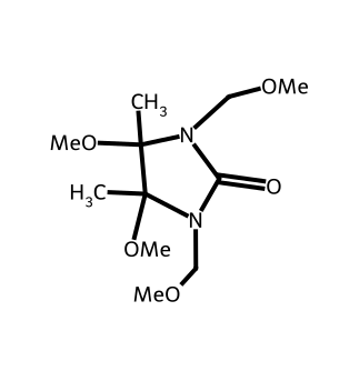 COCN1C(=O)N(COC)C(C)(OC)C1(C)OC